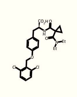 CCN(CC)C(=O)C1(C(=O)N[C@@H](Cc2ccc(OCc3c(Cl)cccc3Cl)cc2)C(=O)O)CC1